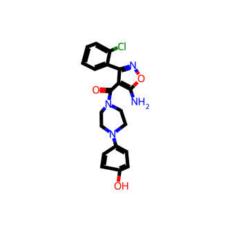 Nc1onc(-c2ccccc2Cl)c1C(=O)N1CCN(c2ccc(O)cc2)CC1